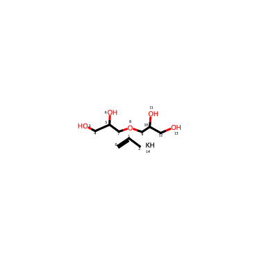 C=CC.OCC(O)COCC(O)CO.[KH]